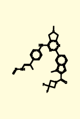 C=NN/C=C(\C)c1ccc(Nc2nc(-c3ccc4cc(C(=O)N5CC(F)(F)C5)n(C)c4c3)nc3c2CN(C)C3)cc1